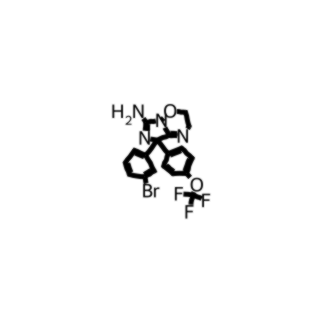 NC1=NC(c2ccc(OC(F)(F)F)cc2)(c2cccc(Br)c2)C2=NCCON12